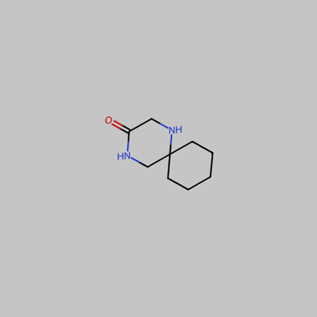 O=C1CNC2(CCCCC2)CN1